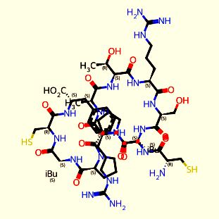 CC[C@H](C)[C@H](NC(=O)[C@@H]1CCCN1C(=O)[C@@H]1CCCN1C(=O)[C@@H](NC(=O)[C@H](CO)NC(=O)[C@H](CCCNC(=N)N)NC(=O)[C@@H](NC(=O)[C@H](C)NC(=O)[C@H](CCCNC(=N)N)NC(=O)CNC(=O)[C@@H](N)CS)[C@@H](C)O)[C@@H](C)CC)C(=O)N[C@@H](CS)C(=O)N[C@@H](Cc1ccccc1)C(=O)O